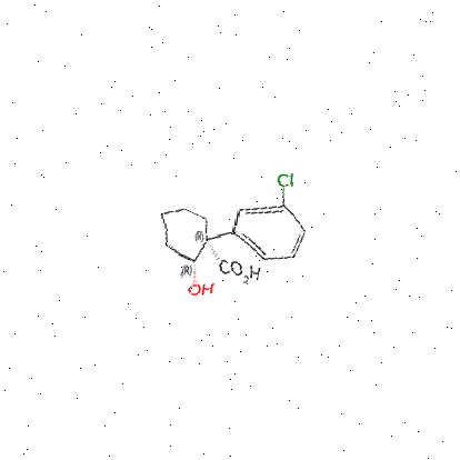 O=C(O)[C@@]1(c2cccc(Cl)c2)CCCC[C@H]1O